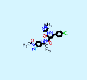 CC(=O)Nc1ccc([C@H](C)NC(=O)c2cc(-c3ccc(Cl)cc3)nn(-c3cnn(C)c3)c2=O)cc1F